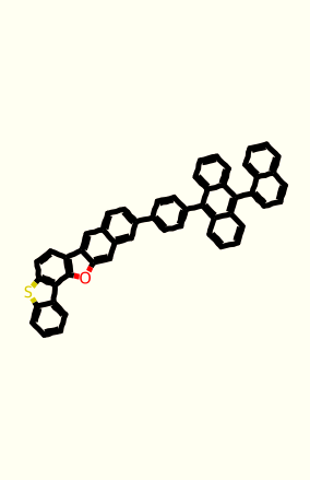 c1ccc2c(-c3c4ccccc4c(-c4ccc(-c5ccc6cc7c(cc6c5)oc5c7ccc6sc7ccccc7c65)cc4)c4ccccc34)cccc2c1